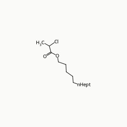 CCCCCCCCCCCCOC(=O)C(C)Cl